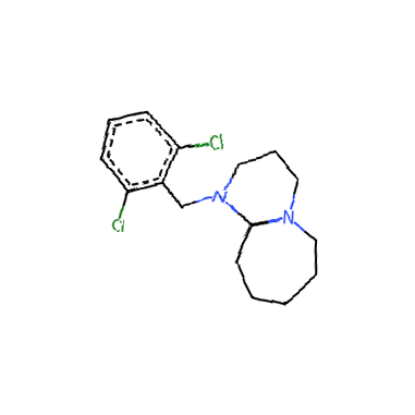 Clc1cccc(Cl)c1CN1CCCN2CCCCCC21